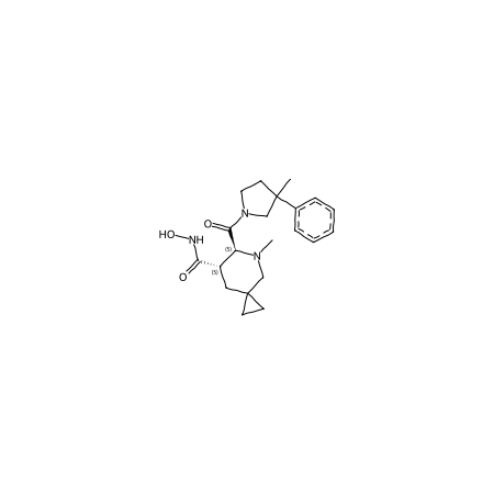 CN1CC2(CC2)C[C@H](C(=O)NO)[C@H]1C(=O)N1CCC(C)(c2ccccc2)C1